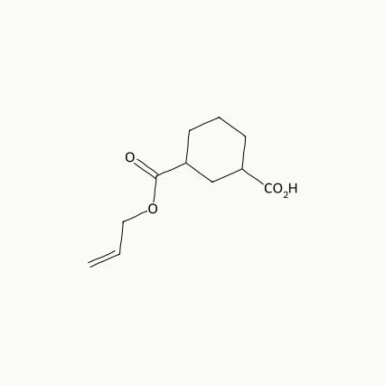 C=CCOC(=O)C1CCCC(C(=O)O)C1